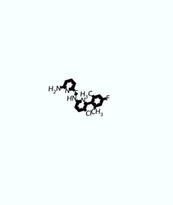 Cc1cc(F)cc(C)c1-c1nc(NSc2cccc(N)n2)ccc1Cl